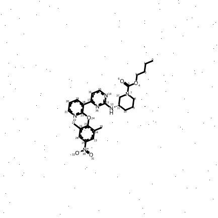 CCCCOC(=O)N1CCC[C@H](Nc2nccc(-c3cccnc3Oc3c(C)cc([N+](=O)[O-])cc3C)n2)C1